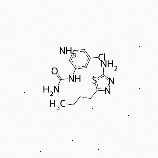 CCCCc1nnc(N)s1.N.NC(=O)Nc1cccc(Cl)c1